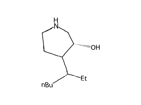 CCCCC(CC)C1CCNC[C@@H]1O